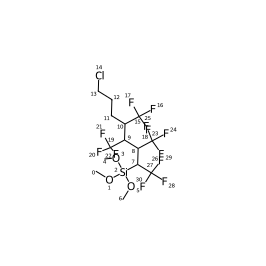 CO[Si](OC)(OC)C(C(C(C(CCCCl)C(F)(F)F)C(F)(F)F)C(F)(F)F)C(F)(F)F